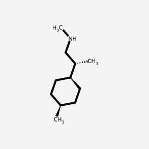 CNC[C@H](C)[C@H]1CC[C@@H](C)CC1